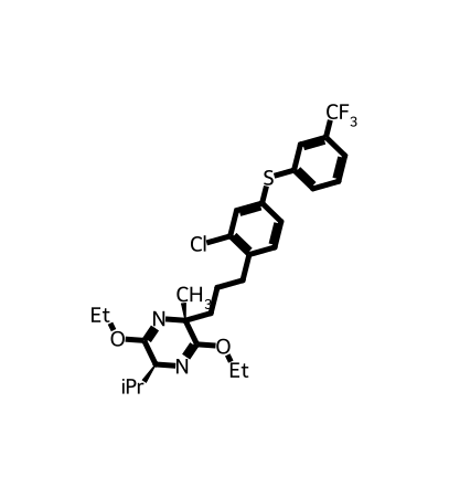 CCOC1=N[C@](C)(CCCc2ccc(Sc3cccc(C(F)(F)F)c3)cc2Cl)C(OCC)=N[C@H]1C(C)C